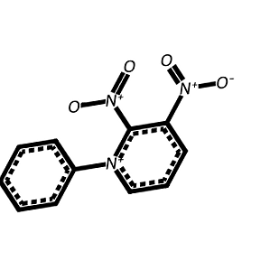 O=[N+]([O-])c1ccc[n+](-c2ccccc2)c1[N+](=O)[O-]